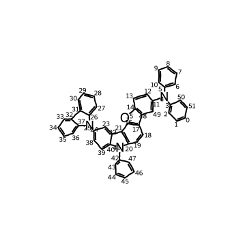 c1ccc(N(c2ccccc2)c2ccc3oc4c(ccc5c4c4cc(-n6c7ccccc7c7ccccc76)ccc4n5-c4ccccc4)c3c2)cc1